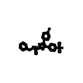 CS(=O)(=O)c1ccc(-c2sc(C(=O)NCc3ccccc3)nc2-c2ccc(F)cc2)cc1